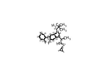 CC(NSC1CC1)c1cn(CC(C)(C)C)c2cc(-c3cnccc3F)c(F)cc12